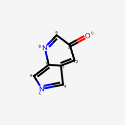 O=C1[C]=C2C=NC=C2N=C1